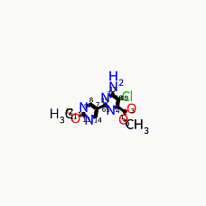 COC(=O)c1nc(-c2cnc(OC)nc2)nc(N)c1Cl